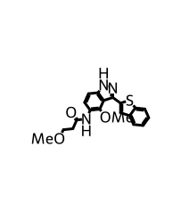 COCCC(=O)Nc1ccc2[nH]nc(-c3cc4ccccc4s3)c2c1OC